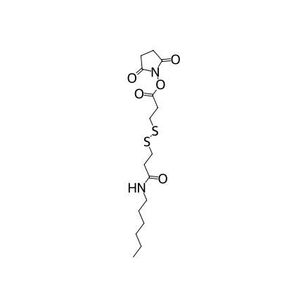 CCCCCCNC(=O)CCSSCCC(=O)ON1C(=O)CCC1=O